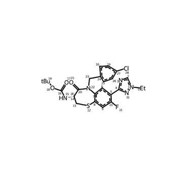 CCn1cnc(-c2cc3c(cc2F)SC[C@H](NC(=O)OC(C)(C)C)C(=O)N3Cc2ccc(Cl)cc2)n1